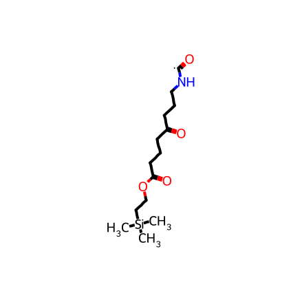 C[Si](C)(C)CCOC(=O)CCCC(=O)CCCN[C]=O